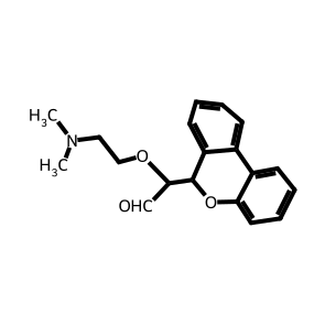 CN(C)CCOC(C=O)C1Oc2ccccc2-c2ccccc21